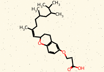 CC(=CC1CCc2cc(OCCC(=O)O)ccc2O1)CCC(C)CC(C)C(C)C